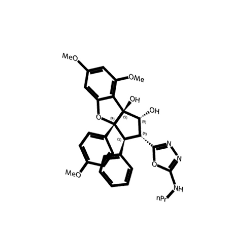 CCCNc1nnc([C@H]2[C@@H](O)[C@@]3(O)c4c(OC)cc(OC)cc4O[C@@]3(c3ccc(OC)cc3)[C@@H]2c2ccccc2)o1